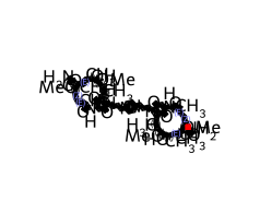 CO[C@H]1/C=C\C=C(/C)C(=O)NC2=CC(=O)C(NCCCN3CCN(CCCNC4=C5C[C@@H](C)C[C@H](OC)[C@H](O)[C@@H](C)/C=C(\C)[C@H](OC(N)=O)[C@@H](OC)/C=C\C=C(/C)C(=O)NC(=CC4=O)C5=O)CC3)=C(C[C@@H](C)C[C@H](OC)[C@H](O)[C@@H](C)/C=C(\C)[C@@H]1OC(N)=O)C2=O